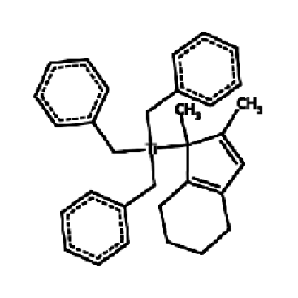 CC1=CC2=C(CCCC2)[C]1(C)[Ti]([CH2]c1ccccc1)([CH2]c1ccccc1)[CH2]c1ccccc1